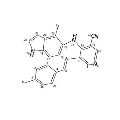 Cc1ccc(C=Cc2cncc(C#N)c2Nc2ccc3[nH]ccc3c2C)cc1